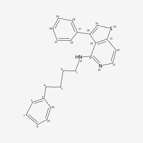 c1ccc(CCCCNc2nccc3scc(-c4ccccc4)c23)cc1